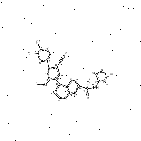 COc1cc(-c2ccc(F)c(C)c2)c(C#N)cc1-c1nccc2cc(S(=O)(=O)Nc3ccon3)ccc12